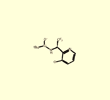 CC(C)(C)[S+]([O-])N[C@H](c1ncccc1Cl)C(F)(F)F